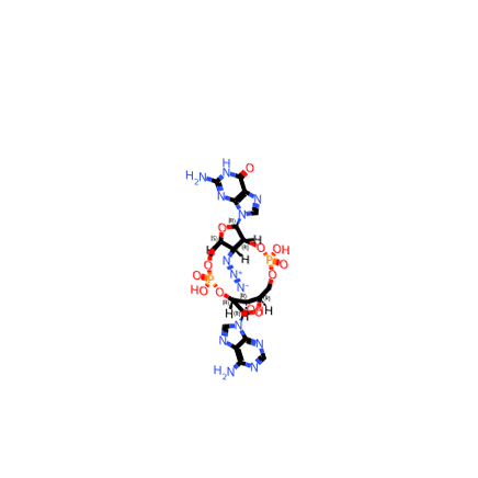 [N-]=[N+]=N[C@H]1[C@H]2OP(=O)(O)OC[C@H]3O[C@@H](n4cnc5c(N)ncnc54)[C@H](OP(=O)(O)OC[C@H]1O[C@H]2n1cnc2c(=O)[nH]c(N)nc21)[C@@H]3O